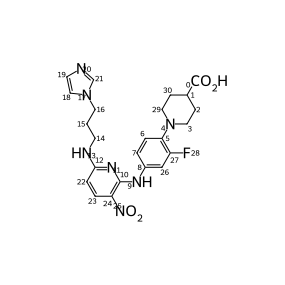 O=C(O)C1CCN(c2ccc(Nc3nc(NCCCn4ccnc4)ccc3[N+](=O)[O-])cc2F)CC1